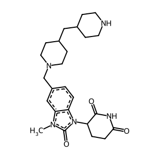 Cn1c(=O)n(C2CCC(=O)NC2=O)c2ccc(CN3CCC(CC4CCNCC4)CC3)cc21